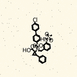 CS(=O)(=O)Nc1cccc(CN(C2(C(=O)O)CC2c2ccccc2)S(=O)(=O)c2ccc(-c3ccc(Cl)cc3)cc2)c1